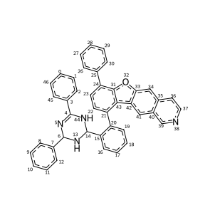 c1ccc(C2=NC(c3ccccc3)NC(c3ccccc3-c3ccc(-c4ccccc4)c4oc5cc6ccncc6cc5c34)N2)cc1